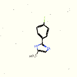 O=C(O)c1cnc(-c2ccc(F)cc2)[nH]1